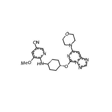 COc1cc(C#N)cnc1NC1CCC(Oc2nc(N3CCOCC3)cc3ncnn23)CC1